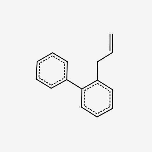 C=CCc1ccc[c]c1-c1ccccc1